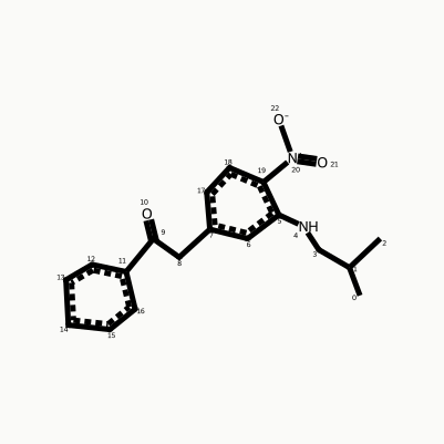 CC(C)CNc1cc(CC(=O)c2ccccc2)ccc1[N+](=O)[O-]